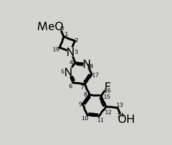 COC1CN(c2ncc(-c3cccc(CO)c3F)cn2)C1